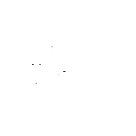 COC(C)NCC=CCl